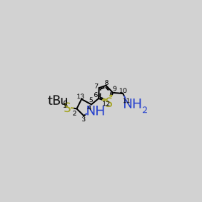 CC(C)(C)SC1CNC(c2ccc(CN)s2)C1